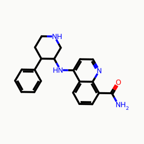 NC(=O)c1cccc2c(NC3CNCCC3c3ccccc3)ccnc12